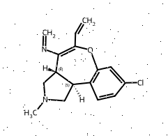 C=CC1=C(N=C)[C@H]2CN(C)C[C@@H]2c2ccc(Cl)cc2O1